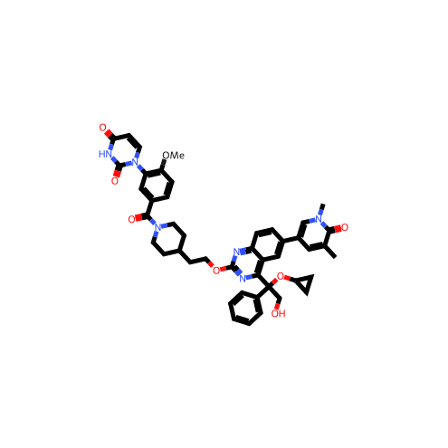 COc1ccc(C(=O)N2CCC(CCOc3nc(C(CO)(OC4CC4)c4ccccc4)c4cc(-c5cc(C)c(=O)n(C)c5)ccc4n3)CC2)cc1-n1ccc(=O)[nH]c1=O